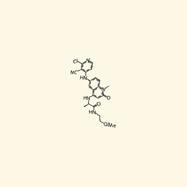 COCCNC(=O)[C@@H](C)Nc1cc(=O)n(C)c2ccc(Nc3ccnc(Cl)c3C#N)cc12